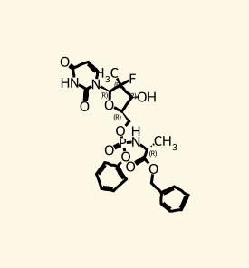 C[C@@H](NP(=O)(OC[C@H]1O[C@@H](n2ccc(=O)[nH]c2=O)[C@](C)(F)[C@@H]1O)Oc1ccccc1)C(=O)OCc1ccccc1